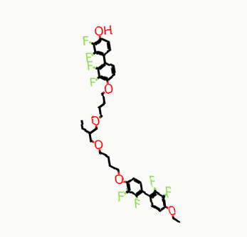 CCOc1ccc(-c2ccc(OCCCCOCC(CC)COCCCCOc3ccc(-c4ccc(O)c(F)c4F)c(F)c3F)c(F)c2F)c(F)c1F